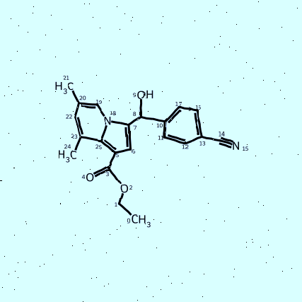 CCOC(=O)c1cc(C(O)c2ccc(C#N)cc2)n2cc(C)cc(C)c12